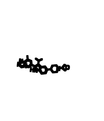 Cc1cc(-c2[nH]c3ccc(C4CCN(C5COC5)CC4)cc3c2C(C)C)cn2cnnc12